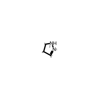 [C]1=NNCC1